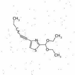 CCCCC#Cc1csc(C(OCC)OCC)n1